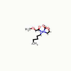 CCCCCN(C(=O)COC)N1CCOC1=O